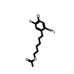 CC(=O)OCCCCC[CH]c1cc(F)c(Cl)cc1N